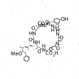 C=C1C(=O)N[C@H](C)C(=O)N[C@@H](Cc2ccc(O)cc2)C(=O)N[C@@H](C(=O)O)[C@H](C)C(=O)N[C@@H](C)C(=O)N[C@@H](/C=C/C(C)=C/[C@H](C)[C@H](Cc2ccccc2)OC)[C@H](C)C(=O)N[C@@H](C(=O)O)CCC(=O)N1C